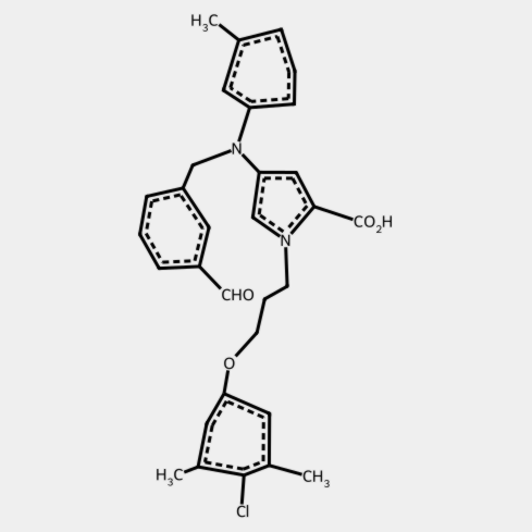 Cc1cccc(N(Cc2cccc(C=O)c2)c2cc(C(=O)O)n(CCCOc3cc(C)c(Cl)c(C)c3)c2)c1